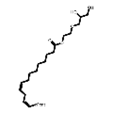 CCCCC/C=C\C/C=C\CCCCCCCC(=O)OCCOCC(O)CO